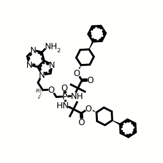 C[C@H](Cn1cnc2c(N)ncnc21)OCP(=O)(NC(C)(C)C(=O)O[C@H]1CC[C@H](c2ccccc2)CC1)NC(C)(C)C(=O)O[C@H]1CC[C@H](c2ccccc2)CC1